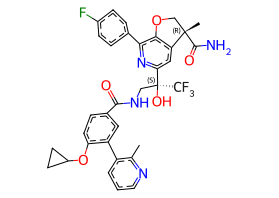 Cc1ncccc1-c1cc(C(=O)NC[C@](O)(c2cc3c(c(-c4ccc(F)cc4)n2)OC[C@]3(C)C(N)=O)C(F)(F)F)ccc1OC1CC1